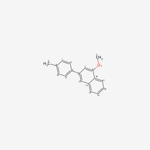 COc1cc(-c2ccc(C)cc2)cc2ccccc12